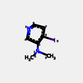 CN(C)c1cnccc1I